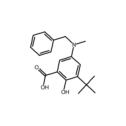 CN(Cc1ccccc1)c1cc(C(=O)O)c(O)c(C(C)(C)C)c1